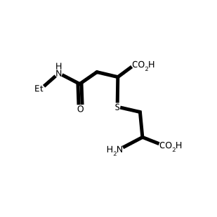 CCNC(=O)CC(SCC(N)C(=O)O)C(=O)O